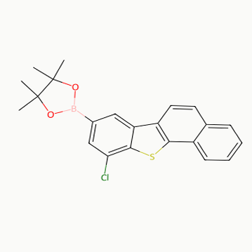 CC1(C)OB(c2cc(Cl)c3sc4c5ccccc5ccc4c3c2)OC1(C)C